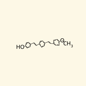 COc1ccc(/C=C/c2ccc(/C=C/c3ccc(O)cc3)cc2)cc1